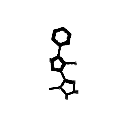 CN1NNN=C1c1cnn(-c2ccccc2)c1I